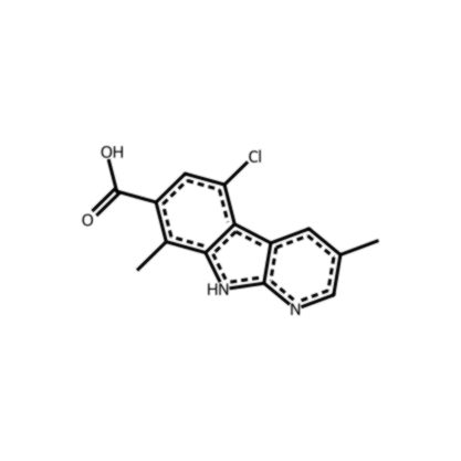 Cc1cnc2[nH]c3c(C)c(C(=O)O)cc(Cl)c3c2c1